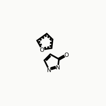 O=C1C=CN=N1.c1ccoc1